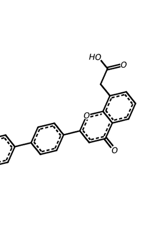 O=C(O)Cc1cccc2c(=O)cc(-c3ccc(-c4ccccc4)cc3)oc12